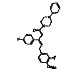 COc1ccc(C/C=C(/CC(=O)N2CCN(c3ccccc3)CC2)c2ccc(F)cc2)cc1F